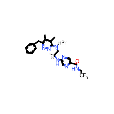 CCCN(C[C@@H](C)Nc1cnc(C(=O)NCC(F)(F)F)cn1)c1nnc(Cc2ccccc2)c(C)c1C